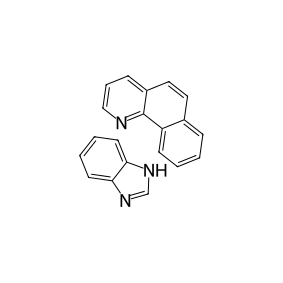 c1ccc2[nH]cnc2c1.c1ccc2c(c1)ccc1cccnc12